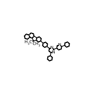 CC1(C)c2cc(-c3ccc(-c4cc(-c5ccccc5)nc(-c5ccc(-c6ccccc6)nc5)n4)cc3)ccc2-c2ccc3ccccc3c21